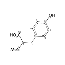 CN[C](Cc1ccc(O)cc1)C(=O)O